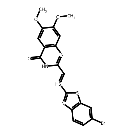 COc1cc2nc(C=[SH]c3nc4ccc(Br)cc4s3)[nH]c(=O)c2cc1OC